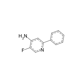 Nc1cc(-c2ccccc2)ncc1F